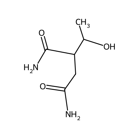 CC(O)C(CC(N)=O)C(N)=O